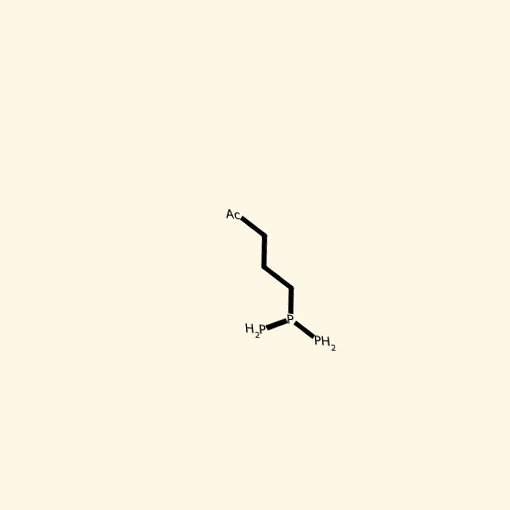 CC(=O)CCCP(P)P